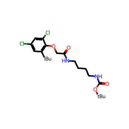 CCC(C)c1cc(Cl)cc(Cl)c1OCC(=O)NCCCCNC(=O)OC(C)(C)C